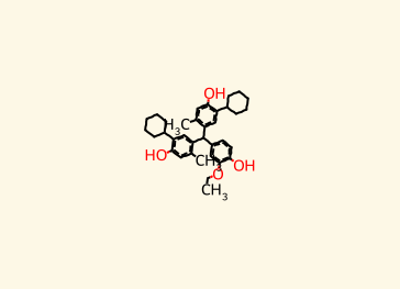 CCOc1cc(C(c2cc(C3CCCCC3)c(O)cc2C)c2cc(C3CCCCC3)c(O)cc2C)ccc1O